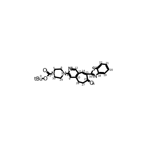 CC(C)(C)OC(=O)N1CCN(c2cc3c(cn2)C=C(c2nc4ccccc4s2)C(=O)CC3)CC1